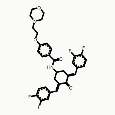 O=C1/C(=C/c2ccc(F)c(F)c2)CC(NC(=O)c2ccc(OCCN3CCOCC3)cc2)C/C1=C\c1ccc(F)c(F)c1